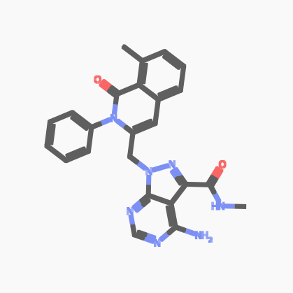 CNC(=O)c1nn(Cc2cc3cccc(C)c3c(=O)n2-c2ccccc2)c2ncnc(N)c12